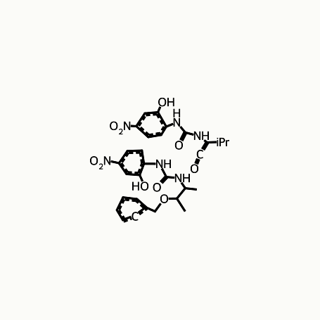 CC(C)C(=C=O)NC(=O)Nc1ccc([N+](=O)[O-])cc1O.CC(NC(=O)Nc1ccc([N+](=O)[O-])cc1O)C(C)OCc1ccccc1